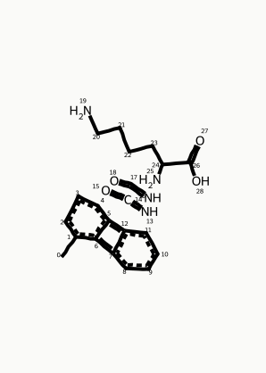 Cc1cccc2c1=c1ccccc1=2.N=C=O.N=C=O.NCCCCC(N)C(=O)O